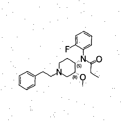 CCC(=O)N(c1ccccc1F)[C@H]1CCN(CCc2ccccc2)C[C@H]1OC